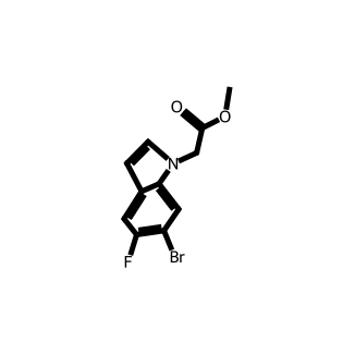 COC(=O)Cn1ccc2cc(F)c(Br)cc21